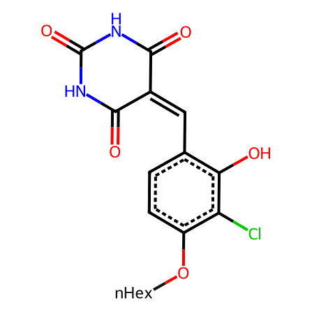 CCCCCCOc1ccc(C=C2C(=O)NC(=O)NC2=O)c(O)c1Cl